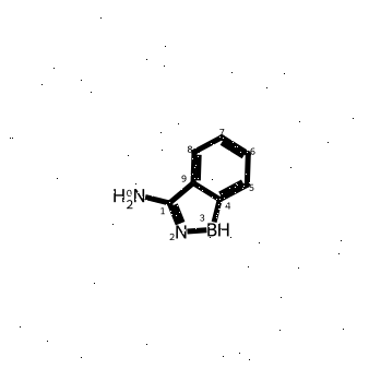 NC1=NBc2ccccc21